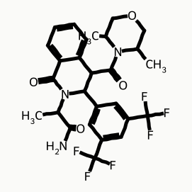 CC1COCC(C)N1C(=O)C1c2ccccc2C(=O)N(C(C)C(N)=O)C1c1cc(C(F)(F)F)cc(C(F)(F)F)c1